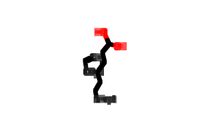 C=CC(=O)O.CCCCCCCCCCCCC(O)O